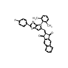 Cc1cccc(C)c1-n1c(C=C2C(=O)c3cc4ccccc4cc3C2=O)cc2sc(-c3ccc(F)cc3)nc21